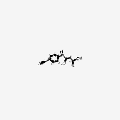 N#Cc1ccc(NC(=O)CC(=O)O)cc1